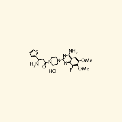 COc1cc2c(N)nc(N3CCN(C(=O)CC(N)c4cccs4)CC3)nc2c(F)c1OC.Cl